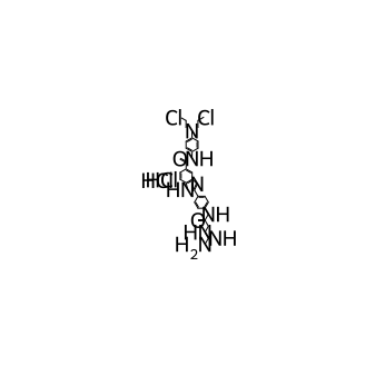 Cl.Cl.N=C(N)NCC(=O)Nc1ccc(-c2nc3cc(C(=O)Nc4ccc(N(CCCl)CCCl)cc4)ccc3[nH]2)cc1